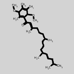 COC1C(C)=C(C)C(OC)C(C(=O)/C=C(\C)CCCC(C)CCCC(C)CCCC(C)C)=C1C